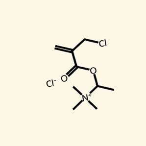 C=C(CCl)C(=O)OC(C)[N+](C)(C)C.[Cl-]